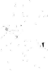 CCCCCC(C(=O)OCC1CCC(CO)O1)(C(C)C)C(C)C